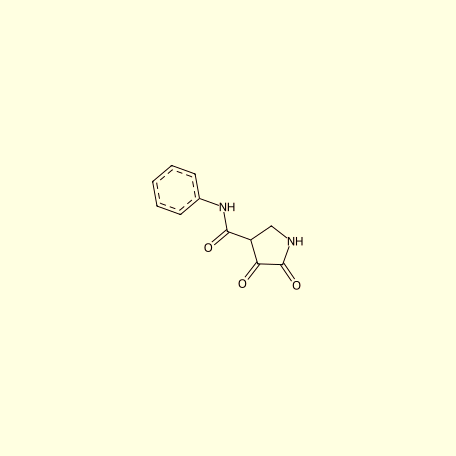 O=C1NCC(C(=O)Nc2ccccc2)C1=O